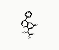 O=C1C=C(C(O)C(=O)O)C2=C(C1)C(c1ccccc1)C=CO2